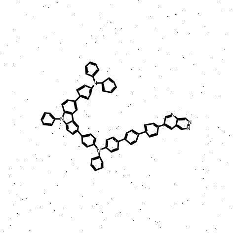 c1ccc(N(c2ccccc2)c2ccc(-c3ccc4c(c3)c3cc(-c5ccc(N(c6ccccc6)c6ccc(-c7ccc(-c8ccc(-c9cnc%10cnncc%10c9)cc8)cc7)cc6)cc5)ccc3n4-c3ccccc3)cc2)cc1